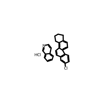 Cl.Clc1ccc2c(ccc3c4c(ccc32)CCCC4)c1.c1ccc2cnccc2c1